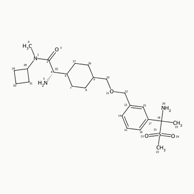 CN(C(=O)[C@@H](N)C1CCC(COCc2cccc(C(C)(N)S(C)(=O)=O)c2)CC1)C1CCC1